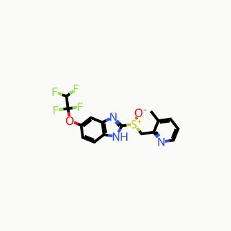 Cc1cccnc1C[S+]([O-])c1nc2cc(OC(F)(F)C(F)F)ccc2[nH]1